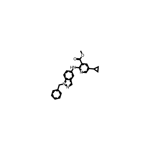 COC(=O)c1cc(C2CC2)cnc1Nc1ccc2c(cnn2Cc2ccccc2)c1